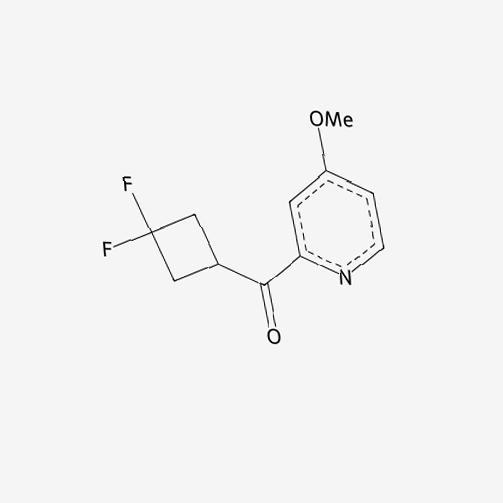 COc1ccnc(C(=O)C2CC(F)(F)C2)c1